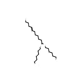 CCCCCCCOC(CCCCC/C=C/CCCBr)OCCCCCCC